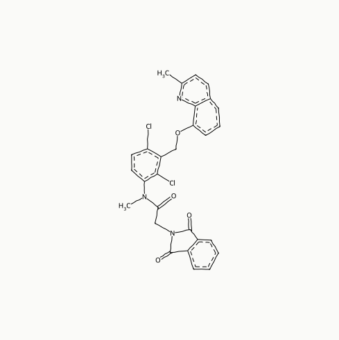 Cc1ccc2cccc(OCc3c(Cl)ccc(N(C)C(=O)CN4C(=O)c5ccccc5C4=O)c3Cl)c2n1